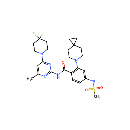 Cc1cc(N2CCC(F)(F)CC2)nc(NC(=O)c2ccc(NS(C)(=O)=O)cc2N2CCC3(CC2)CC3)n1